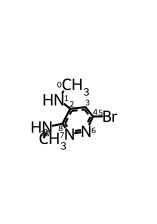 CNc1cc(Br)nnc1NC